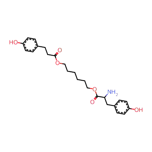 NC(Cc1ccc(O)cc1)C(=O)OCCCCCCOC(=O)CCc1ccc(O)cc1